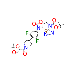 CC(C)(C)OC(=O)N(C[C@H]1CN(c2cc(F)c(C3=CCN(C(=O)[C@@H]4COC(C)(C)O4)CC3)c(F)c2)C(=O)O1)c1ncns1